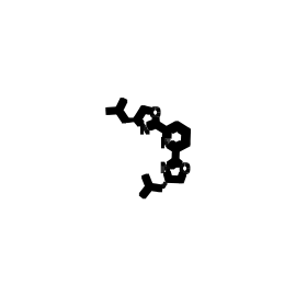 CC(C)C[C@H]1COC(c2cccc(C3=N[C@@H](CC(C)C)CO3)n2)=N1